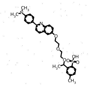 Cc1ccc(S(=O)(=O)O)c(C(C)OCCOCCOc2ccc3nc(-c4ccc(N(C)C)cc4)ccc3c2)c1